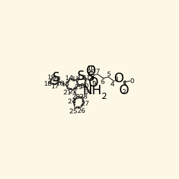 CC(=O)OCCCCS(=O)(=O)c1sc2cc(-c3cccs3)cc(-c3ccccc3)c2c1N